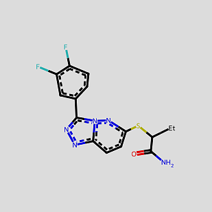 CCC(Sc1ccc2nnc(-c3ccc(F)c(F)c3)n2n1)C(N)=O